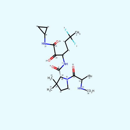 CC(F)(F)CCC(NC(=O)[C@@H]1N(C(=O)C(NC(=O)O)C(C)(C)C)CCC1(C)C)C(=O)C(=O)NC1CC1